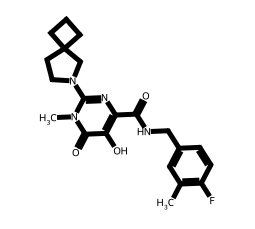 Cc1cc(CNC(=O)c2nc(N3CCC4(CCC4)C3)n(C)c(=O)c2O)ccc1F